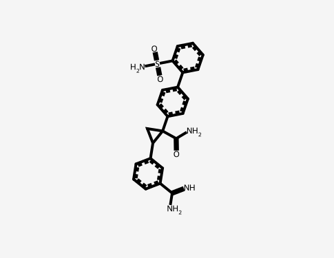 N=C(N)c1cccc(C2CC2(C(N)=O)c2ccc(-c3ccccc3S(N)(=O)=O)cc2)c1